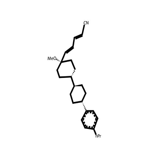 CCCc1ccc([C@H]2CC[C@H]([C@H]3CC[C@@](C=CC=CC#N)(OC)CC3)CC2)cc1